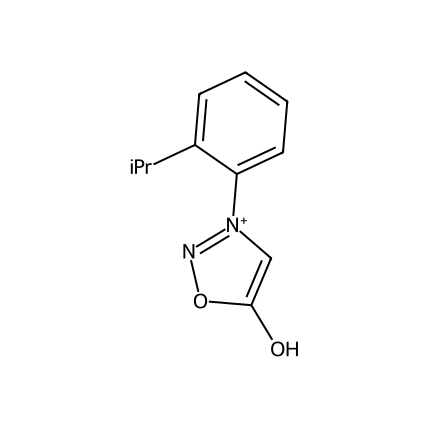 CC(C)c1ccccc1-[n+]1cc(O)on1